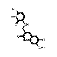 COc1cc2[nH]c(=O)c(CNc3ccc(C#N)n(C)c3=O)cc2cc1Cl